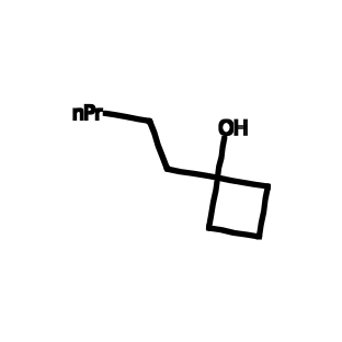 CCCCCC1(O)CCC1